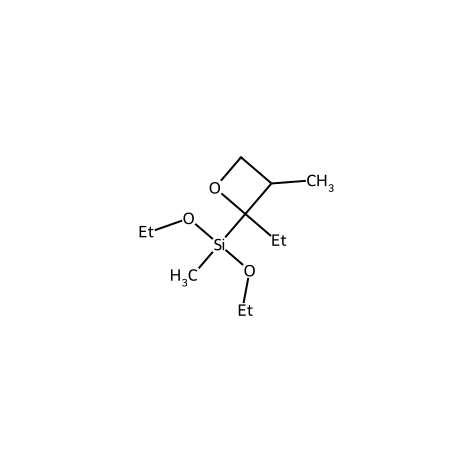 CCO[Si](C)(OCC)C1(CC)OCC1C